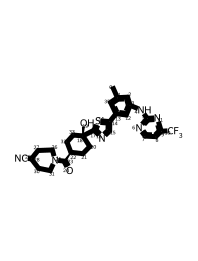 Cc1cc(Nc2nccc(C(F)(F)F)n2)cc(-c2cnc([C@]3(O)CC[C@@H](C(=O)N4CCC(C#N)CC4)CC3)s2)c1